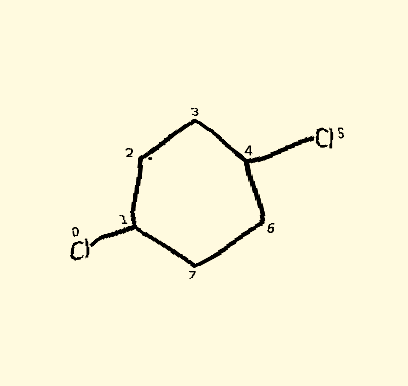 ClC1[CH]CC(Cl)CC1